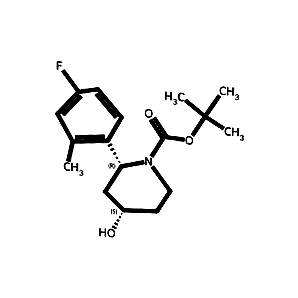 Cc1cc(F)ccc1[C@H]1C[C@@H](O)CCN1C(=O)OC(C)(C)C